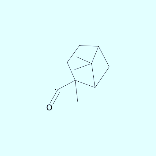 CC1([C]=O)CCC2CC1C2(C)C